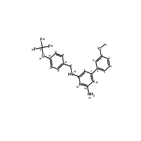 COc1cccc(-c2cc(NCc3ccc(OC(F)(F)F)cc3)nc(N)n2)c1